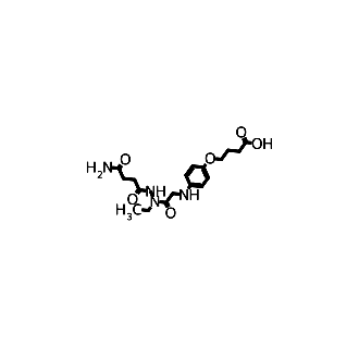 CCN(NC(=O)CCC(N)=O)C(=O)CNc1ccc(OCCCC(=O)O)cc1